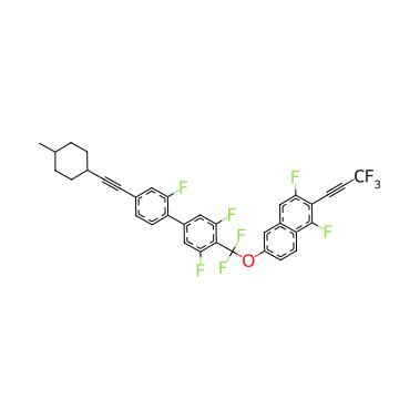 CC1CCC(C#Cc2ccc(-c3cc(F)c(C(F)(F)Oc4ccc5c(F)c(C#CC(F)(F)F)c(F)cc5c4)c(F)c3)c(F)c2)CC1